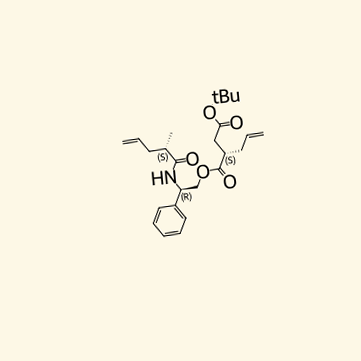 C=CC[C@@H](CC(=O)OC(C)(C)C)C(=O)OC[C@H](NC(=O)[C@@H](C)CC=C)c1ccccc1